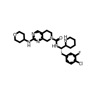 O=C(N[C@@H](Cc1ccc(Cl)c(F)c1)C1CCCCN1)N1CCc2cnc(NC3CCOCC3)nc2C1